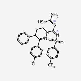 N/C([SeH])=N/C(=N/S(=O)(=O)c1ccc(C(F)(F)F)cc1)N1CCC(c2ccccc2)C(c2ccc(Cl)cc2)=N1